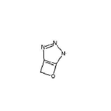 C1OC2=C1N=N[N]2